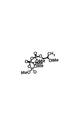 COC(C)COP(=O)(OC)OP(=O)(OC)OP(=O)(OC)OC